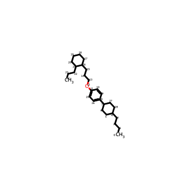 CCCCC1CCC(c2ccc(OCCCC3CCCCC3CCC)cc2)CC1